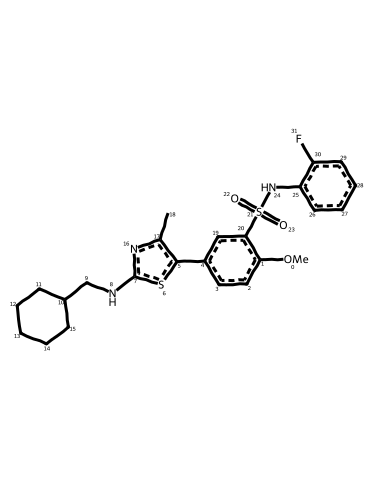 COc1ccc(-c2sc(NCC3CCCCC3)nc2C)cc1S(=O)(=O)Nc1ccccc1F